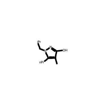 CCCc1c(C)c(O)nn1CC(C)C